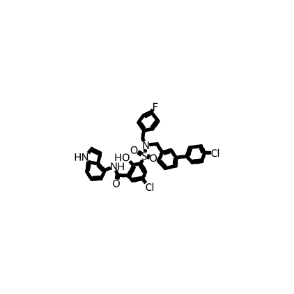 O=C(Nc1cccc2[nH]ccc12)c1cc(Cl)cc(S(=O)(=O)N(Cc2ccc(F)cc2)Cc2cccc(-c3ccc(Cl)cc3)c2)c1O